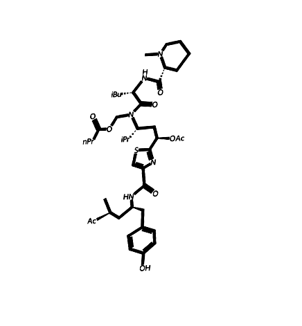 CCCC(=O)OCN(C(=O)[C@@H](NC(=O)[C@H]1CCCCN1C)C(C)CC)[C@H](C[C@@H](OC(C)=O)c1nc(C(=O)N[C@@H](Cc2ccc(O)cc2)C[C@H](C)C(C)=O)cs1)C(C)C